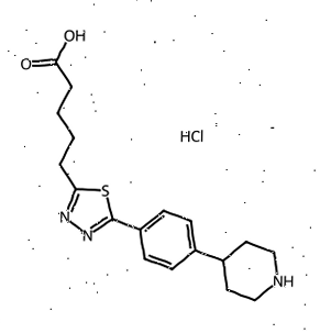 Cl.O=C(O)CCCCc1nnc(-c2ccc(C3CCNCC3)cc2)s1